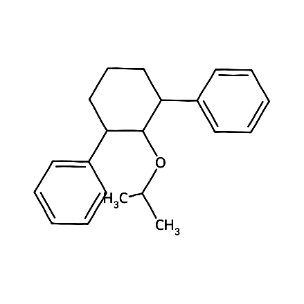 CC(C)OC1C(c2ccccc2)CCCC1c1ccccc1